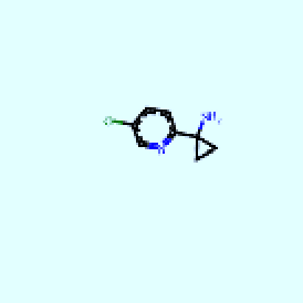 NC1(c2ccc(Cl)cn2)CC1